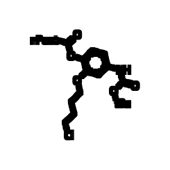 CCCCCC(=O)Oc1ccc(NC(=O)OC(C)(C)C)cc1OCCCCCl